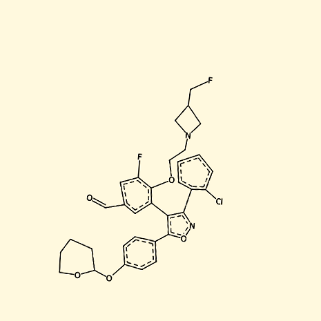 O=Cc1cc(F)c(OCCN2CC(CF)C2)c(-c2c(-c3ccccc3Cl)noc2-c2ccc(OC3CCCCO3)cc2)c1